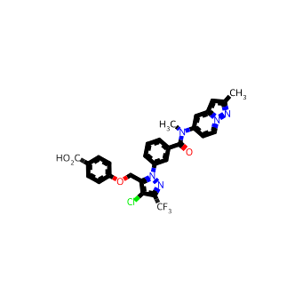 Cc1cc2cc(N(C)C(=O)c3cccc(-n4nc(C(F)(F)F)c(Cl)c4COc4ccc(C(=O)O)cc4)c3)ccn2n1